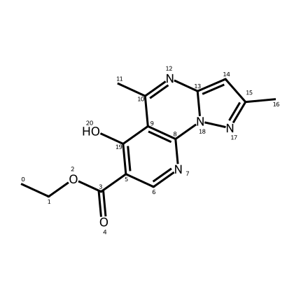 CCOC(=O)c1cnc2c(c(C)nc3cc(C)nn32)c1O